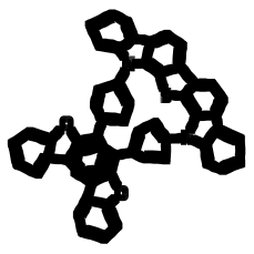 c1ccc2c(c1)oc1c(-c3ccc(-n4c5ccccc5c5ccc6c7ccc8c9ccccc9n(-c9ccc(-c%10cccc%11c%10oc%10ccccc%10%11)cc9)c8c7sc6c54)cc3)cccc12